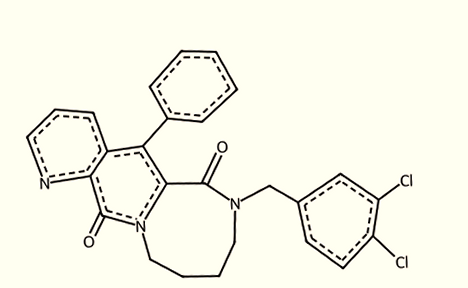 O=C1c2c(-c3ccccc3)c3cccnc3c(=O)n2CCCCN1Cc1ccc(Cl)c(Cl)c1